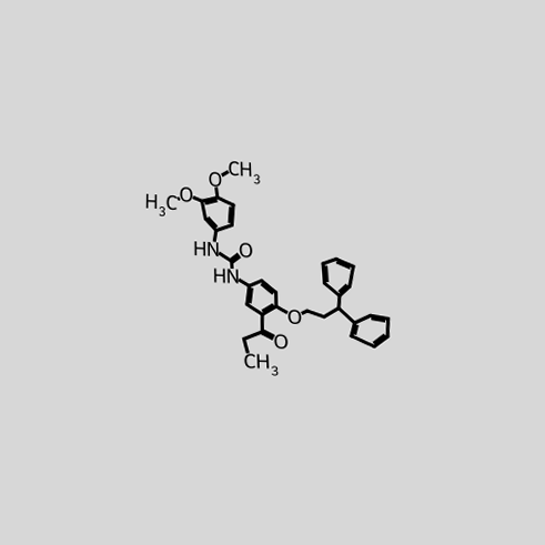 CCC(=O)c1cc(NC(=O)Nc2ccc(OC)c(OC)c2)ccc1OCCC(c1ccccc1)c1ccccc1